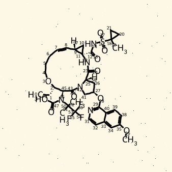 CC[C@@H]1OCCC/C=C\[C@@H]2C[C@@]2(C(=O)NS(=O)(=O)C2(C)CC2)NC(=O)[C@@H]2C[C@@H](Oc3nccc4cc(OC)ccc34)CN2C(=O)[C@H]1N(C(=O)O)C(C)(C)C(F)(F)F